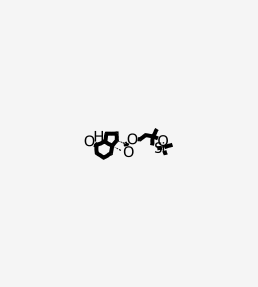 CC(C)(CCOC(=O)[C@H]1CC[C@H]2C(=O)CCC[C@]12C)O[Si](C)(C)C